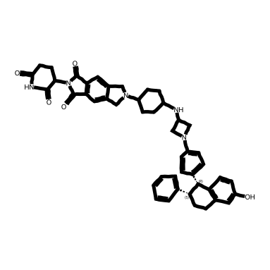 O=C1CCC(N2C(=O)c3cc4c(cc3C2=O)CN(C2CCC(NC3CN(c5ccc([C@@H]6c7ccc(O)cc7CC[C@@H]6c6ccccc6)cc5)C3)CC2)C4)C(=O)N1